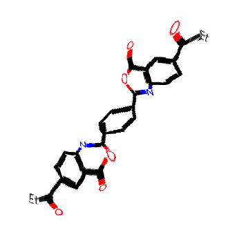 CCC(=O)c1ccc2nc(-c3ccc(-c4nc5ccc(C(=O)CC)cc5c(=O)o4)cc3)oc(=O)c2c1